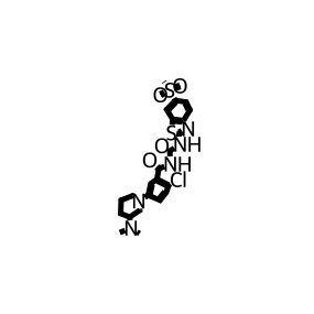 CN(C)C1CCCN(c2ccc(Cl)c(C(=O)NC(=O)Nc3nc4ccc(S(C)(=O)=O)cc4s3)c2)C1